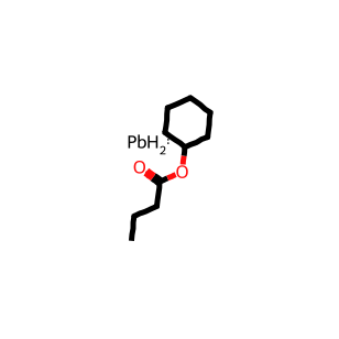 CCCC(=O)OC1CCCCC1.[PbH2]